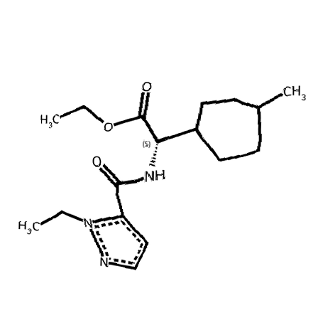 CCOC(=O)[C@@H](NC(=O)c1ccnn1CC)C1CCC(C)CC1